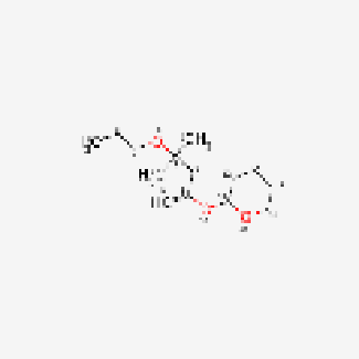 [CH]=C(CC(C)(C)OCCC)OC1CCCCO1